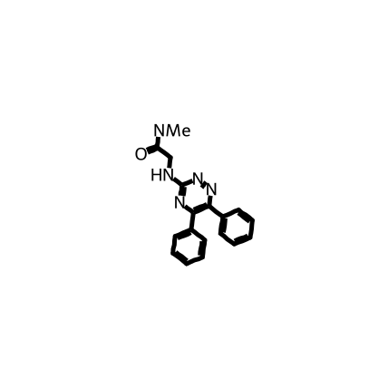 CNC(=O)CNc1nnc(-c2ccccc2)c(-c2ccccc2)n1